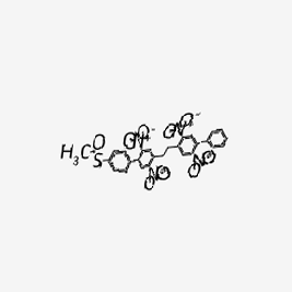 CC(=O)Sc1ccc(-c2cc([N+](=O)[O-])c(CCc3cc([N+](=O)[O-])c(-c4ccccc4)cc3[N+](=O)[O-])cc2[N+](=O)[O-])cc1